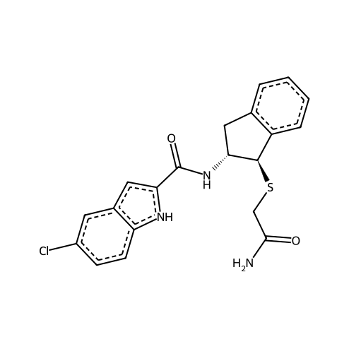 NC(=O)CS[C@@H]1c2ccccc2C[C@H]1NC(=O)c1cc2cc(Cl)ccc2[nH]1